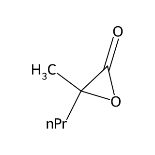 CCCC1(C)OC1=O